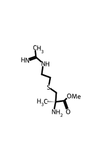 COC(=O)[C@@](C)(N)CSCCNC(C)=N